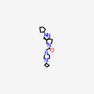 O=C(CN1CCN(C2CCC2)CC1)N1CCc2nn(C3CCCC3)cc2C1